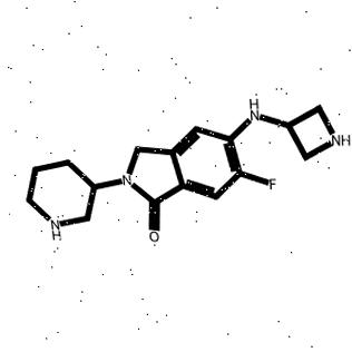 O=C1c2cc(F)c(NC3CNC3)cc2CN1C1CCCNC1